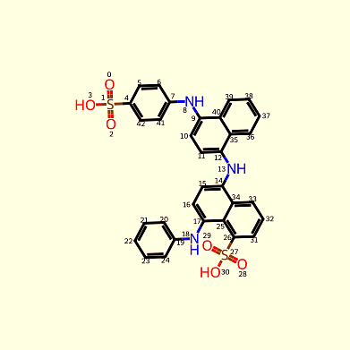 O=S(=O)(O)c1ccc(Nc2ccc(Nc3ccc(Nc4ccccc4)c4c(S(=O)(=O)O)cccc34)c3ccccc23)cc1